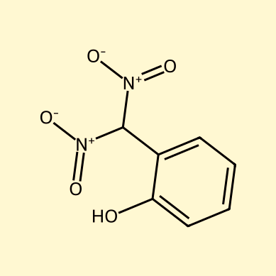 O=[N+]([O-])C(c1ccccc1O)[N+](=O)[O-]